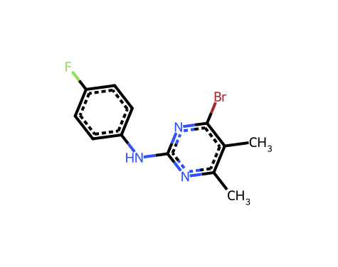 Cc1nc(Nc2ccc(F)cc2)nc(Br)c1C